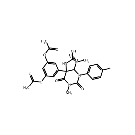 CC(=O)Oc1cc(OC(C)=O)cc(C2(NC(=O)O)C(=O)N(C)C(=O)N(c3ccc(F)cc3)C2N(C)C)c1